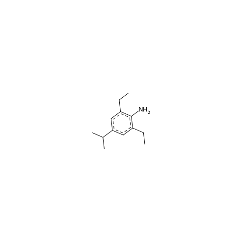 CCc1cc(C(C)C)cc(CC)c1N